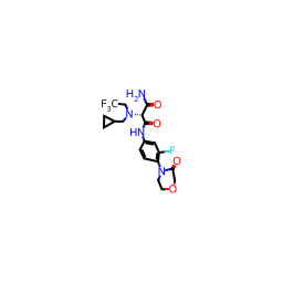 NC(=O)[C@H](C(=O)Nc1ccc(N2CCOCC2=O)c(F)c1)N(CC1CC1)CC(F)(F)F